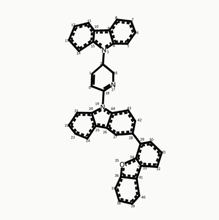 C1=CC(n2c3ccccc3c3ccccc32)CN=C1n1c2ccccc2c2cc(-c3cccc4c3oc3ccccc34)ccc21